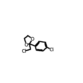 ClCC1(c2ccc(Cl)cc2)OCCO1